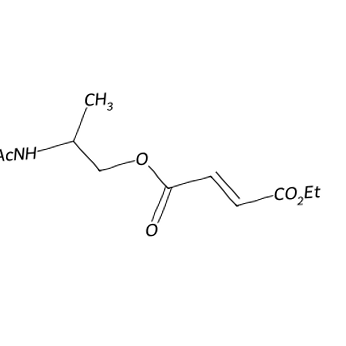 CCOC(=O)/C=C/C(=O)OCC(C)NC(C)=O